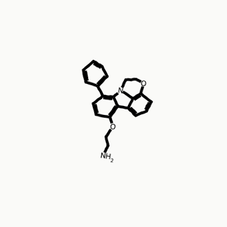 NCCOc1ccc(-c2ccccc2)c2c1c1cccc3c1n2CCO3